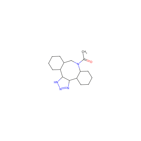 CC(=O)N1CC2CCCCC2C2NN=NC2C2CCCCC21